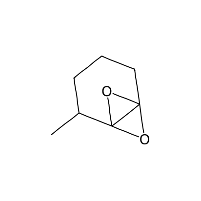 CC1CCCC23OC12O3